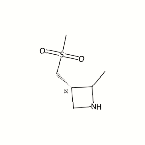 CC1NC[C@@H]1CS(C)(=O)=O